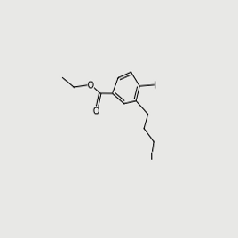 CCOC(=O)c1ccc(I)c(CCCI)c1